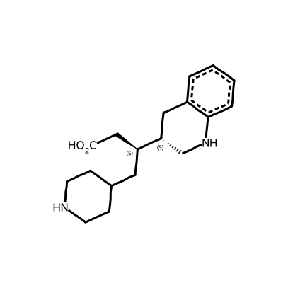 O=C(O)C[C@H](CC1CCNCC1)[C@H]1CNc2ccccc2C1